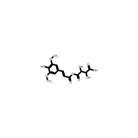 COc1cc(/C=C/C(=O)OC(=O)C(O)C(O)C(=O)O)cc(OC)c1O